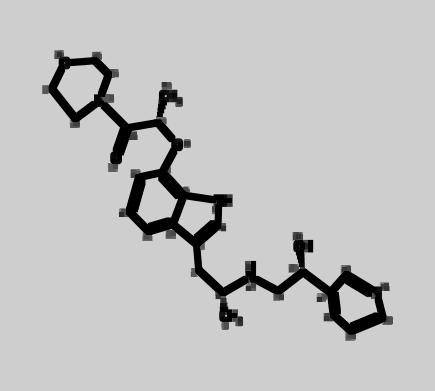 C[C@H](Cc1c[nH]c2c(O[C@@H](C)C(=O)N3CCOCC3)cccc12)NC[C@H](O)c1cccnc1